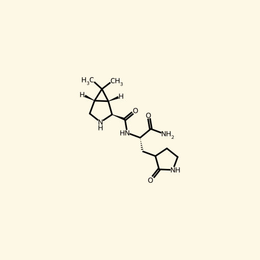 CC1(C)[C@@H]2[C@@H](C(=O)N[C@@H](CC3CCNC3=O)C(N)=O)NC[C@@H]21